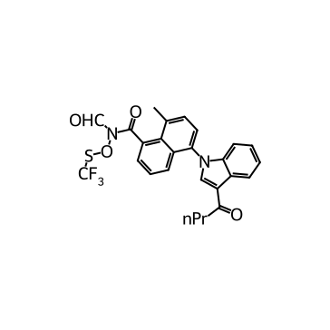 CCCC(=O)c1cn(-c2ccc(C)c3c(C(=O)N(C=O)OSC(F)(F)F)cccc23)c2ccccc12